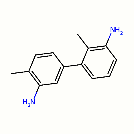 Cc1ccc(-c2cccc(N)c2C)cc1N